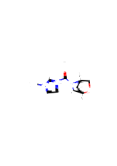 C[n+]1ccn(C(=O)N2C[C@@H]3C[C@H]2CO3)c1.[I-]